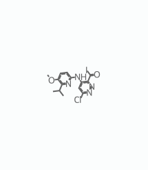 COc1ccc(Nc2cc(Cl)nnc2C(=O)I)nc1C(C)C